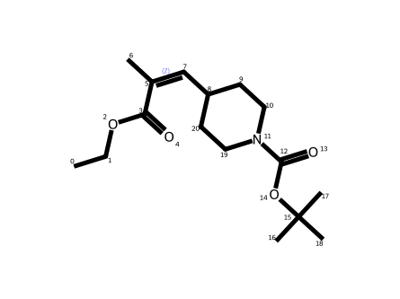 CCOC(=O)/C(C)=C\C1CCN(C(=O)OC(C)(C)C)CC1